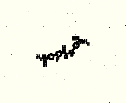 N=C(N)N1CC=C(c2csc(C(=O)Nc3ccc(C4=CCN(C(=N)N)CC4)c(F)c3)c2)CC1